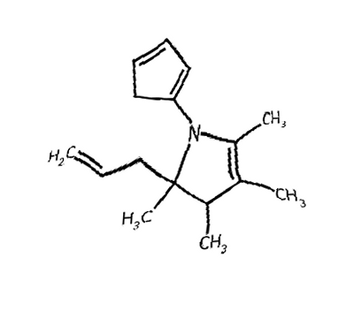 C=CCC1(C)C(C)C(C)=C(C)N1C1=CC=CC1